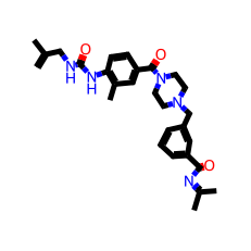 C=C(C)CNC(=O)Nc1ccc(C(=O)N2CCN(Cc3cccc(C(=O)N=C(C)C)c3)CC2)cc1C